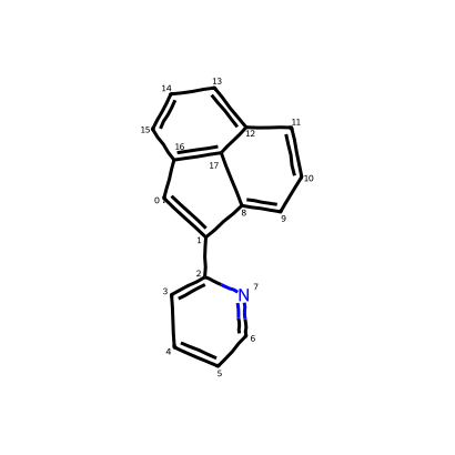 [C]1=C(c2ccccn2)c2cccc3cccc1c23